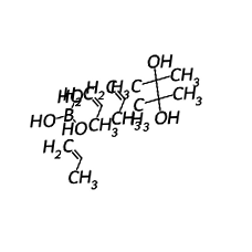 C=CC.C=CC.C=CC.CC(C)(O)C(C)(C)O.OB(O)O